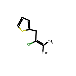 C/C(C=O)=C(/Cl)Cc1cccs1